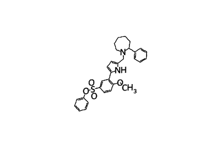 COc1ccc(S(=O)(=O)Oc2ccccc2)cc1-c1ccc(CN2CCCCCC2c2ccccc2)[nH]1